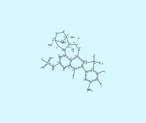 Cc1c(F)c(N)cc(-c2nc3c4c(nc(NS(C)(=O)=O)nc4c2F)N2C[C@H]4CC[C@H](N4)[C@H]2[C@H](C)O3)c1C(F)(F)F